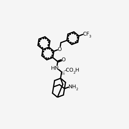 NC12CC3CC(C1)CC([C@H](NC(=O)c1ccc4ccccc4c1OCc1ccc(C(F)(F)F)cc1)C(=O)O)(C3)C2